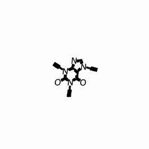 C#Cn1c(=O)c2c(ncn2C#C)n(C#C)c1=O